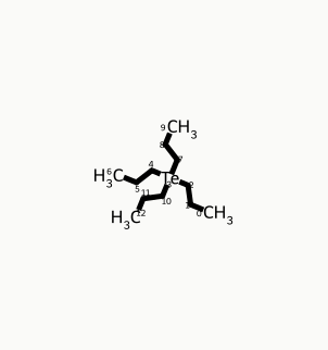 CCC[Te](CCC)(CCC)CCC